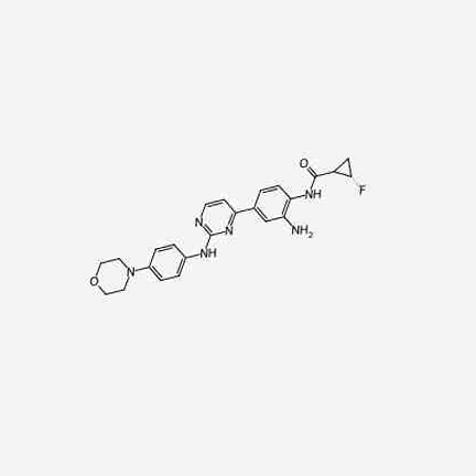 Nc1cc(-c2ccnc(Nc3ccc(N4CCOCC4)cc3)n2)ccc1NC(=O)C1C[C@@H]1F